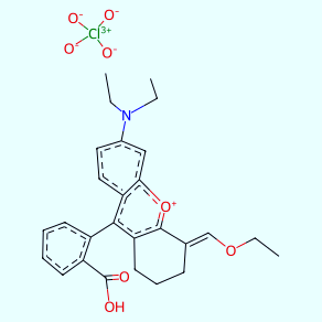 CCO/C=C1\CCCc2c1[o+]c1cc(N(CC)CC)ccc1c2-c1ccccc1C(=O)O.[O-][Cl+3]([O-])([O-])[O-]